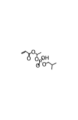 C=CC(=O)OC(C)OP(=O)(O)OCC(C)C